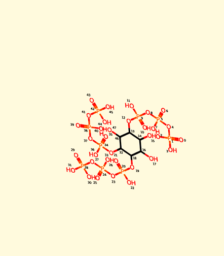 O=P(O)(O)OP(=O)(O)OP(=O)(O)OC1C(O)C(O)C(OP(=O)(O)OP(=O)(O)OP(=O)(O)O)C(OP(=O)(O)OP(=O)(O)OP(=O)(O)O)C1O